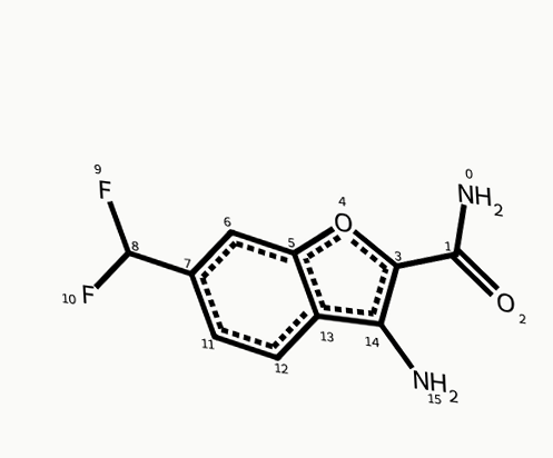 NC(=O)c1oc2cc(C(F)F)ccc2c1N